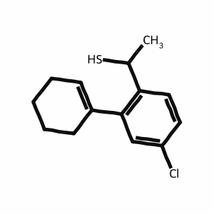 CC(S)c1ccc(Cl)cc1C1=CCCCC1